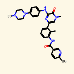 CCN1CCN(c2ccc(Nc3nc(-c4cccc(NC(=O)c5ccc(C(C)(C)C)nc5)c4C)cn(C)c3=O)cc2)CC1